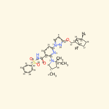 C[C@@H]1CN(c2nc(-n3ccc(OCC4C[C@@H]5CC[C@@H]4C5)n3)ccc2C(=O)NS(=O)(=O)c2ccccc2)C(C)(C)C1